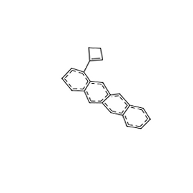 C1=C(c2cccc3cc4cc5ccccc5cc4cc23)CC1